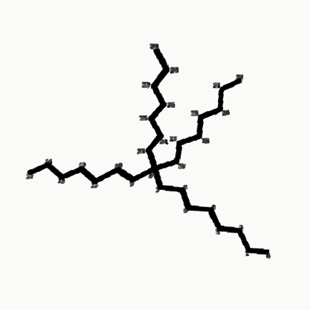 CCCCCCCCC(CCCCCCC)(CCCCCCC)CCCCCCC